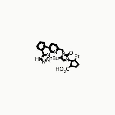 CCCCc1cn(C2C(CC)CCC2C(=O)O)c(=O)n1Cc1ccc(-c2ccccc2-c2nnn[nH]2)cn1